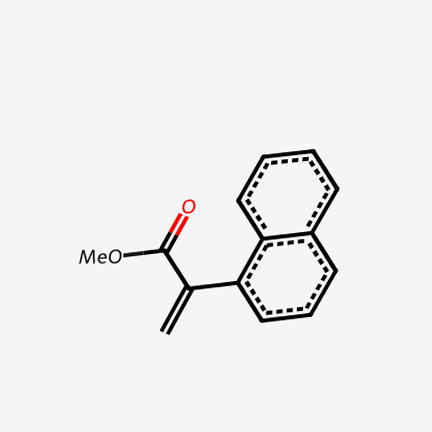 C=C(C(=O)OC)c1cccc2ccccc12